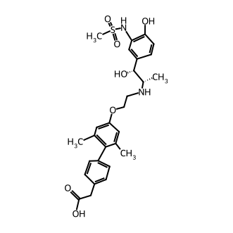 Cc1cc(OCCN[C@@H](C)[C@H](O)c2ccc(O)c(NS(C)(=O)=O)c2)cc(C)c1-c1ccc(CC(=O)O)cc1